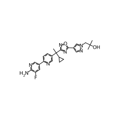 CC(C)(O)Cn1cc(-c2nc(C(C)(c3ccc(-c4cnc(N)c(F)c4)nc3)C3CC3)no2)cn1